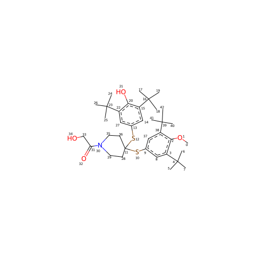 COc1c(C(C)(C)C)cc(SC2(Sc3cc(C(C)(C)C)c(O)c(C(C)(C)C)c3)CCN(C(=O)CO)CC2)cc1C(C)(C)C